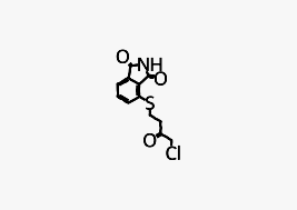 O=C(CCl)CCSc1cccc2c1C(=O)NC2=O